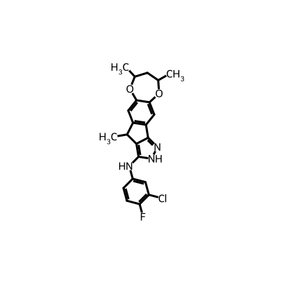 CC1CC(C)Oc2cc3c(cc2O1)-c1n[nH]c(Nc2ccc(F)c(Cl)c2)c1C3C